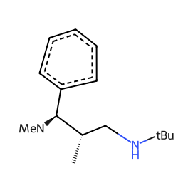 CN[C@@H](c1ccccc1)[C@@H](C)CNC(C)(C)C